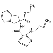 C=CCCNc1ncccc1C(=O)NC1(C(=O)OCC)Cc2ccccc2C1